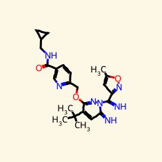 Cc1cc(C(=N)n2nc(OCc3ccc(C(=O)NCC4CC4)cn3)c(C(C)(C)C)cc2=N)no1